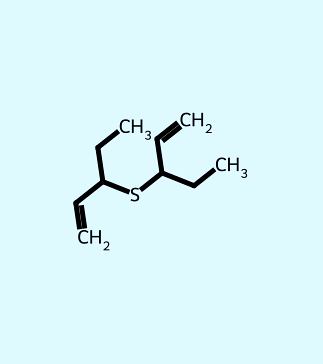 C=CC(CC)SC(C=C)CC